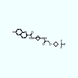 Cc1ccc2nc(C(=O)NC34CC(NC(=O)CO[C@H]5C[C@@H](C(F)(F)F)C5)(C3)C4)ccc2c1